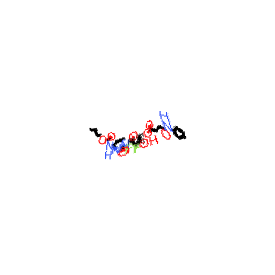 CCCCOC(=O)Nc1ccn([C@@H]2O[C@H](COC(=O)CCC(=O)Nc3ccccc3)[C@@H](O)C2(F)F)c(=O)n1